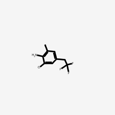 Cc1cc(CC(F)(F)F)cc(Cl)c1N